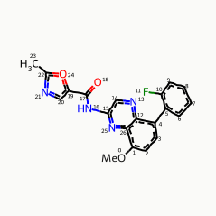 COc1ccc(-c2ccccc2F)c2ncc(NC(=O)c3cnc(C)o3)nc12